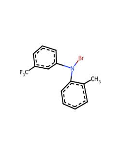 Cc1ccccc1N(Br)c1cccc(C(F)(F)F)c1